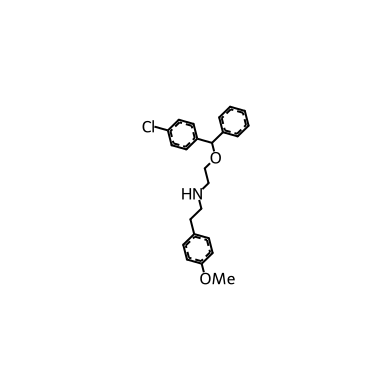 COc1ccc(CCNCCOC(c2ccccc2)c2ccc(Cl)cc2)cc1